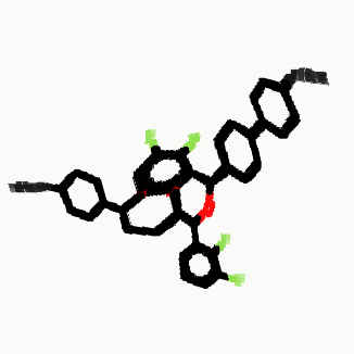 CCCCCCC1CCC(C2CCC(C(OC(c3cccc(F)c3F)C3CCC(C4CCC(CCCCCC)CC4)CC3)c3cccc(F)c3F)CC2)CC1